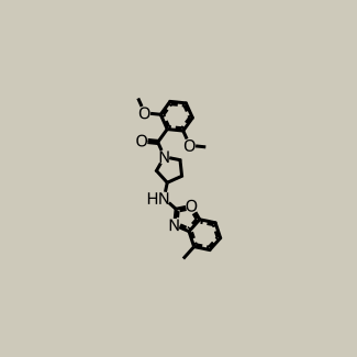 COc1cccc(OC)c1C(=O)N1CCC(Nc2nc3c(C)cccc3o2)C1